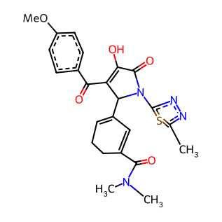 COc1ccc(C(=O)C2=C(O)C(=O)N(c3nnc(C)s3)C2C2=CCCC(C(=O)N(C)C)=C2)cc1